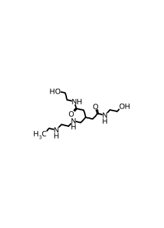 CCNCCNCC(CC(=O)NCCO)CC(=O)NCCO